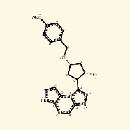 CC[C@H]1C[C@@H](OCc2ccc(OC)cc2)C[C@@H]1c1nnc2cnc3[nH]ccc3n12